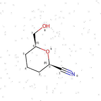 N#C[C@H]1CCC[C@@H](CO)O1